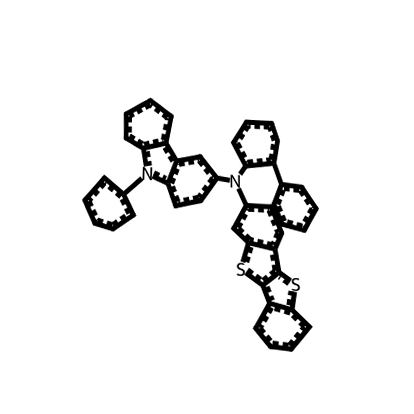 c1ccc(-c2ccccc2N(c2ccc3c(c2)sc2c4ccccc4sc32)c2ccc3c(c2)c2ccccc2n3-c2ccccc2)cc1